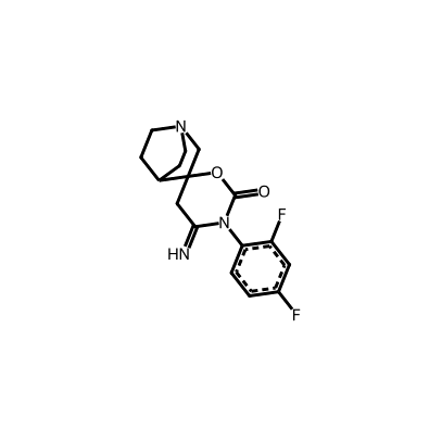 N=C1CC2(CN3CCC2CC3)OC(=O)N1c1ccc(F)cc1F